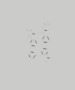 COC(=O)c1ccc(Oc2cccc(NC(=O)CN)c2)cc1.Cc1ccc(Oc2cccc(NC(=O)C(C)N)c2)cc1C